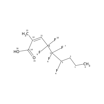 CCCC(F)C(F)(F)C(F)(F)C=C(C)C(=O)O